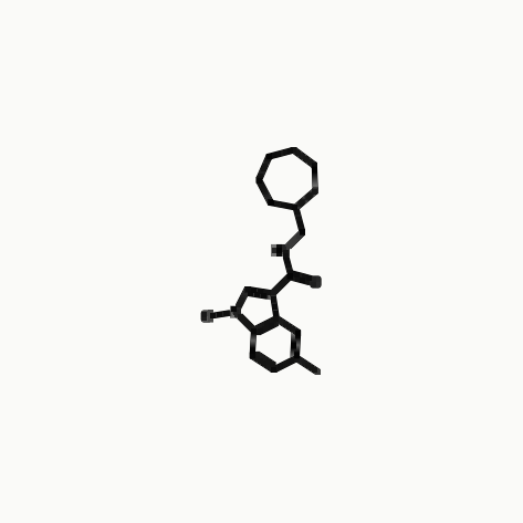 Cc1ccc2c(c1)c(C(=O)NCC1CCCCCC1)cn2Cl